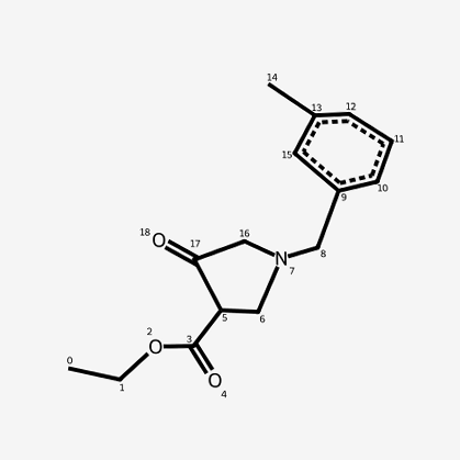 CCOC(=O)C1CN(Cc2cccc(C)c2)CC1=O